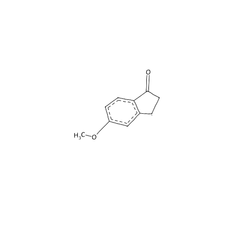 COc1ccc2c(c1)[CH]CC2=O